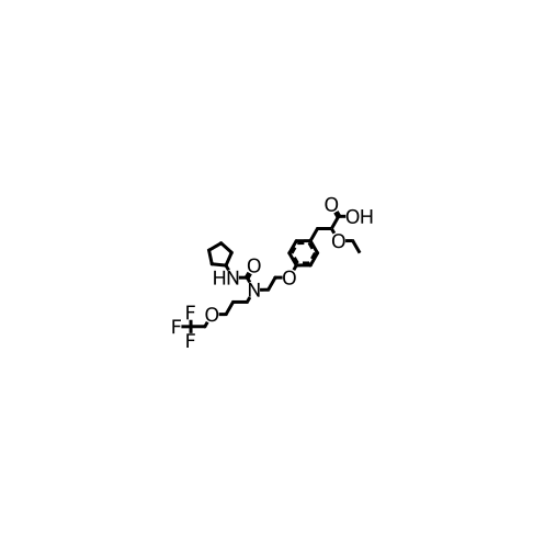 CCOC(Cc1ccc(OCCN(CCCOCC(F)(F)F)C(=O)NC2CCCC2)cc1)C(=O)O